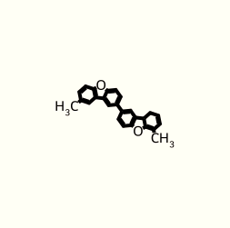 CC1=C2Oc3ccc(-c4ccc5oc6ccc(C)cc6c5c4)cc3C2CC=C1